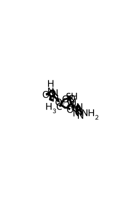 CC1CC2C[C@@H](OP(=O)(S)OC[C@H]1OCn1ccc3c(=O)[nH]cnc31)[C@H](n1cnc3c(N)ncnc31)O2